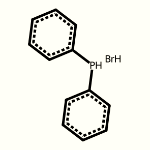 Br.c1ccc(Pc2ccccc2)cc1